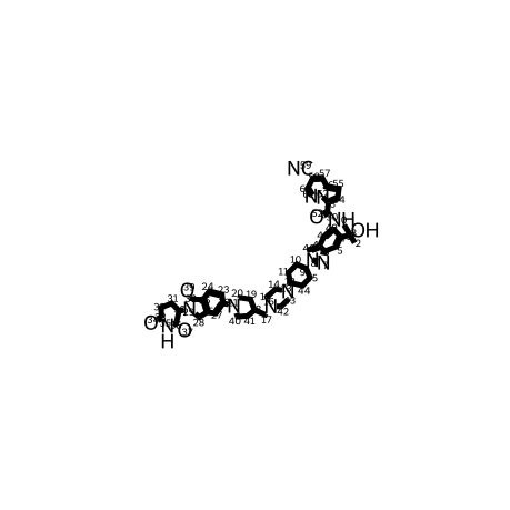 CC(C)(O)c1cc2nn([C@H]3CC[C@H](N4CCN(CC5CCN(c6ccc7c(c6)CN(C6CCC(=O)NC6=O)C7=O)CC5)CC4)CC3)cc2cc1NC(=O)c1ccc2cc(C#N)cnn12